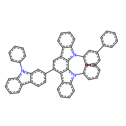 c1ccc(-c2cccc(-n3c4ccccc4c4cc(-c5ccc6c7ccccc7n(-c7ccccc7)c6c5)c5c6ccccc6n(-c6ccccc6)c5c43)c2)cc1